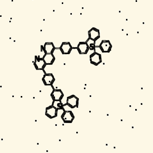 c1ccc([Si]2(c3ccccc3)c3ccccc3-c3cc(-c4ccc(-c5ccnc6c5ccc5c(-c7ccc(-c8ccc9c(c8)-c8ccccc8[Si]9(c8ccccc8)c8ccccc8)cc7)ccnc56)cc4)ccc32)cc1